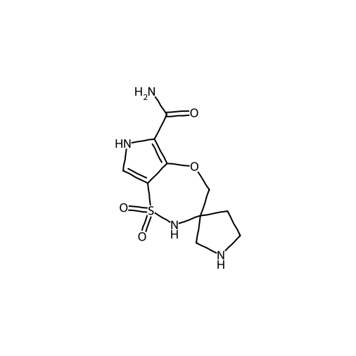 NC(=O)c1[nH]cc2c1OCC1(CCNC1)NS2(=O)=O